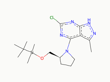 Cc1n[nH]c2nc(Cl)nc(N3CCC[C@H]3CO[Si](C)(C)C(C)(C)C)c12